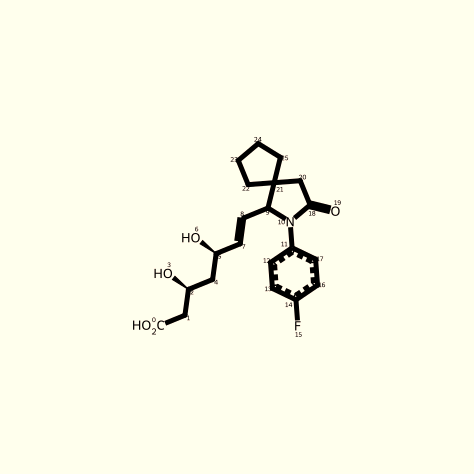 O=C(O)C[C@@H](O)C[C@@H](O)C=CC1N(c2ccc(F)cc2)C(=O)CC12CCCC2